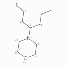 CCCC(CCC)N1CCOCC1